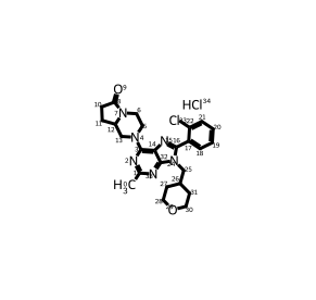 Cc1nc(N2CCN3C(=O)CCC3C2)c2nc(-c3ccccc3Cl)n(CC3CCOCC3)c2n1.Cl